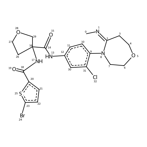 CN=C1CCOCCN1c1ccc(NC(=O)C2(NC(=O)c3ccc(Br)s3)CCOC2)cc1Cl